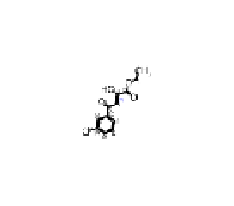 CCOC(=O)/C(O)=C/C(=O)c1cccc(Cl)c1